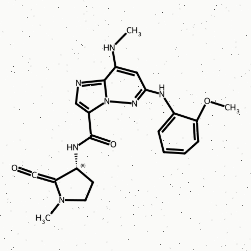 CNc1cc(Nc2ccccc2OC)nn2c(C(=O)N[C@@H]3CCN(C)C3=C=O)cnc12